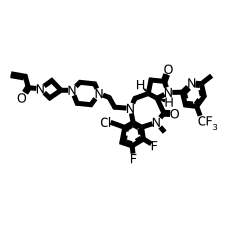 C=CC(=O)N1CC(N2CCN(CCN3C[C@H]4CC(=O)N(c5cc(C(F)(F)F)cc(C)n5)[C@@H]4C(=O)N(C)c4c(F)c(F)cc(Cl)c43)CC2)C1